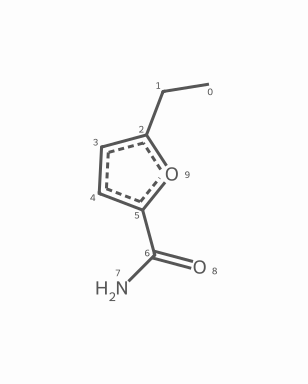 CCc1ccc(C(N)=O)o1